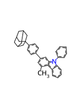 Cc1cc(-c2ccc(C34CC5CC(CC(C5)C3)C4)cc2)cc2c1c1ccccc1n2-c1ccccc1